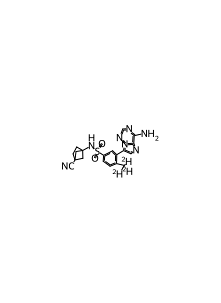 [2H]C([2H])([2H])c1ccc(S(=O)(=O)NC23CCC(C#N)(C2)C3)cc1-c1cnc2c(N)ncnn12